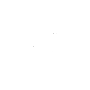 CC(=O)C(=O)C(=O)O